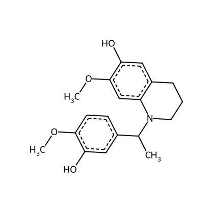 COc1ccc(C(C)N2CCCc3cc(O)c(OC)cc32)cc1O